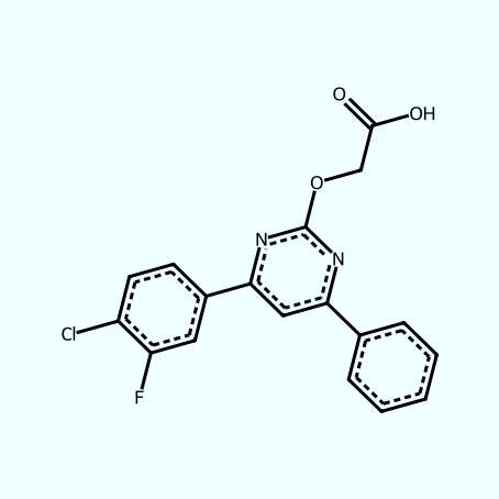 O=C(O)COc1nc(-c2ccccc2)cc(-c2ccc(Cl)c(F)c2)n1